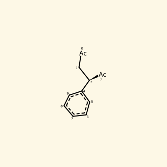 CC(=O)C[C@@H](C(C)=O)c1ccccc1